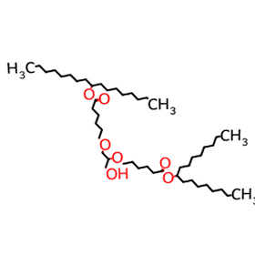 CCCCCCCCC(CCCCCCCC)OC(=O)CCCCCOCC(CO)OCCCCCC(=O)OC(CCCCCCCC)CCCCCCCC